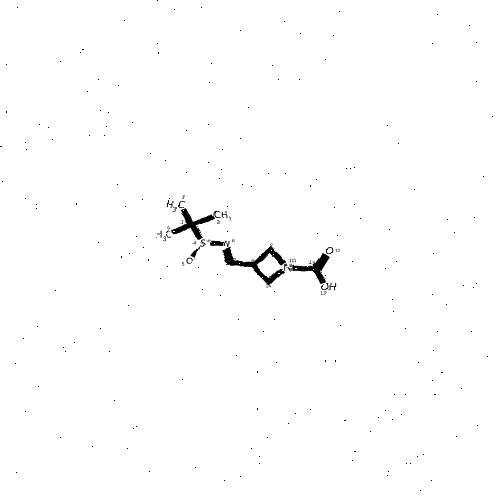 CC(C)(C)[S@+]([O-])N=CC1CN(C(=O)O)C1